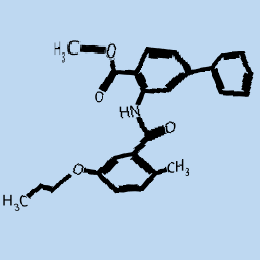 CCCOc1ccc(C)c(C(=O)Nc2cc(-c3ccccc3)ccc2C(=O)OC)c1